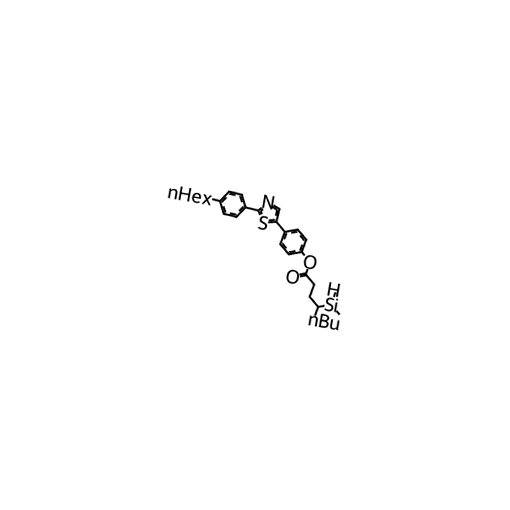 CCCCCCc1ccc(-c2ncc(-c3ccc(OC(=O)CCC(CCCC)[SiH](C)C)cc3)s2)cc1